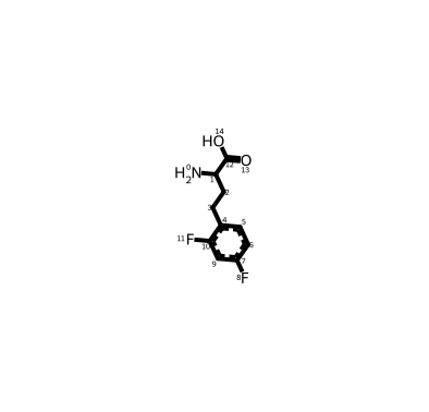 NC(CCc1ccc(F)cc1F)C(=O)O